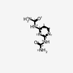 NC(=O)Nc1ccnc(NC(N)=O)n1